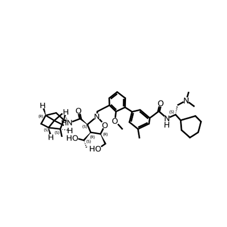 COc1c(CN2O[C@@H](CO)[C@@H]([C@H](C)O)[C@H]2C(=O)N[C@H]2C[C@H]3C[C@@H]([C@@H]2C)C3(C)C)cccc1-c1cc(C)cc(C(=O)N[C@H](CN(C)C)C2CCCCC2)c1